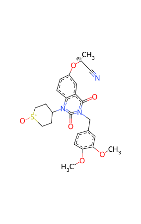 COc1ccc(Cn2c(=O)c3cc(O[C@H](C)C#N)ccc3n(C3CC[S+]([O-])CC3)c2=O)cc1OC